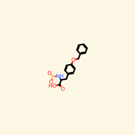 O=C(O)C(Cc1ccc(OCc2ccccc2)cc1)NP(=O)=O